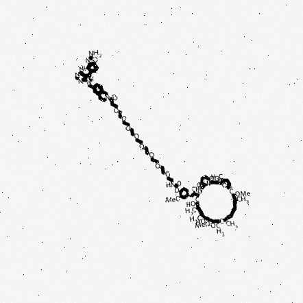 CO[C@H]1C[C@@H]2CC[C@@H](C)[C@@](O)(O2)C(=O)C(=O)N2CCCC[C@H]2C(=O)O[C@H]([C@H](C)C[C@@H]2CC[C@@H](OC(=O)NCCOCCOCCOCCOCCOCCOCCOCCOCCC(=O)N3CCc4cc(Cn5nc(-c6ccc7oc(N)nc7c6)c6c(N)ncnc65)ccc4C3)[C@H](OC)C2)C[C@@H](O)[C@H](C)/C=C(\C)[C@@H](O)[C@@H](OC)C(=O)[C@H](C)C[C@H](C)/C=C/C=C/C=C/1C